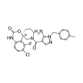 Cc1ccc(Cn2ncc(C(=O)N3CCC[C@@]4(C3)OC(=O)Nc3ccc(Cl)c(F)c34)c2N)cc1